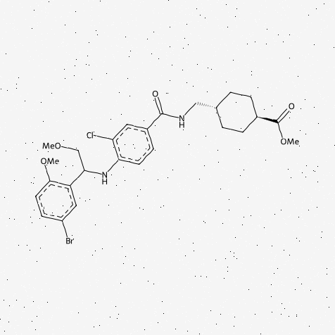 COCC(Nc1ccc(C(=O)NC[C@H]2CC[C@H](C(=O)OC)CC2)cc1Cl)c1cc(Br)ccc1OC